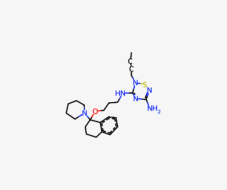 CCCCN1SN=C(N)N=C1NCCCOC1(N2CCCCC2)CCCc2ccccc21